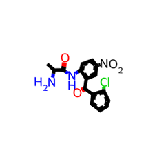 CC(N)C(=O)Nc1ccc([N+](=O)[O-])cc1C(=O)c1ccccc1Cl